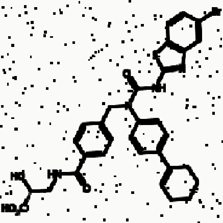 O=C(NC[C@@H](O)C(=O)O)c1ccc(CN(C(=O)Nc2nc3cc(Br)ccc3s2)c2ccc(C3=CCCCC3)cc2)cc1